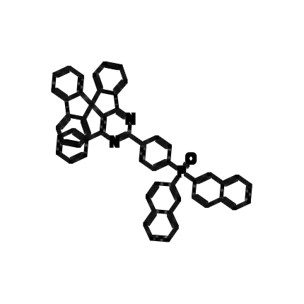 O=P(c1ccc(-c2nc(-c3ccccc3)c3c(n2)-c2ccccc2C32c3ccccc3-c3ccccc32)cc1)(c1ccc2ccccc2c1)c1ccc2ccccc2c1